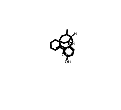 CC1c2cc(O)ccc2C[C@H]2C(C)CC1C[C@H]2N(C)C(=O)C1CCCCC1